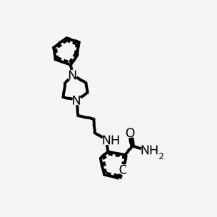 NC(=O)c1ccccc1NCCCN1CCN(c2ccccc2)CC1